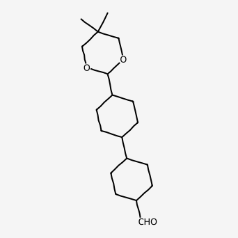 CC1(C)COC(C2CCC(C3CCC(C=O)CC3)CC2)OC1